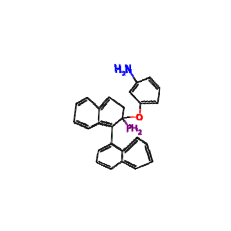 Nc1cccc(OC2(P)CC=c3ccccc3=C2c2cccc3ccccc23)c1